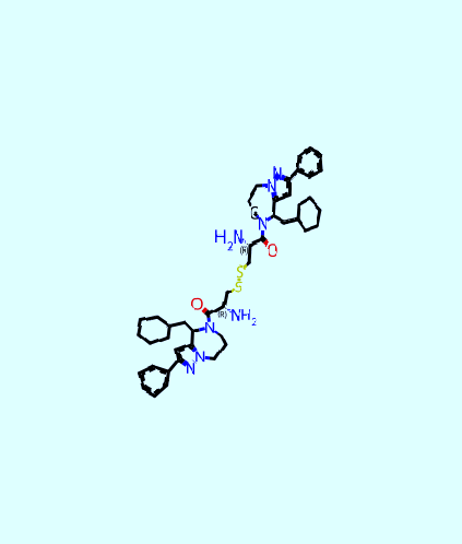 N[C@@H](CSSC[C@H](N)C(=O)N1CCCn2nc(-c3ccccc3)cc2C1CC1CCCCC1)C(=O)N1CCCn2nc(-c3ccccc3)cc2C1CC1CCCCC1